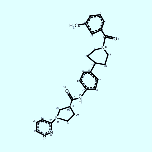 Cc1cccc(C(=O)N2CCC(c3ccc(NC(=O)[C@H]4CCN(c5cccnn5)C4)cc3)CC2)c1